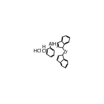 C1=C[CH]([Zr][CH]2C=Cc3ccccc32)c2ccccc21.Cl.Cl.[AlH2][c]1ccccc1